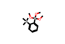 CO[Si](OC)(OC)c1ccccc1[Si](C)(C)C